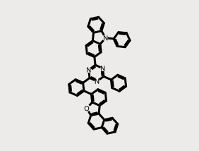 c1ccc(-c2nc(-c3ccc4c5ccccc5n(-c5ccccc5)c4c3)nc(-c3ccccc3-c3cccc4c3oc3ccc5ccccc5c34)n2)cc1